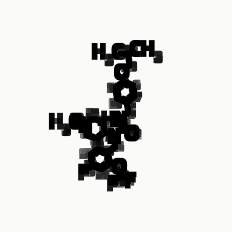 CC(C)COc1ccc(CNC(=O)N(Cc2ccc(F)cc2OC(F)F)C2CCN(C)CC2)cc1